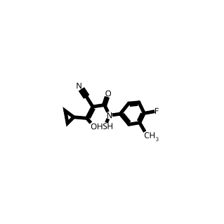 Cc1cc(N(S)C(=O)C(C#N)=C(O)C2CC2)ccc1F